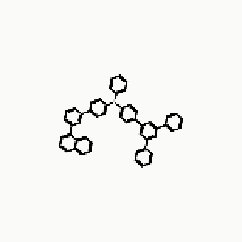 c1ccc(-c2cc(-c3ccccc3)cc(-c3ccc(N(c4ccccc4)c4ccc(-c5cccc(-c6cccc7ccccc67)c5)cc4)cc3)c2)cc1